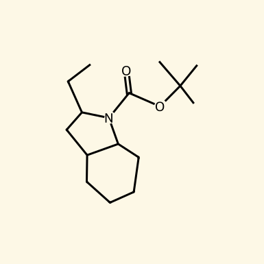 CCC1CC2CCCCC2N1C(=O)OC(C)(C)C